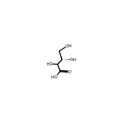 O=C(O)C(O)[C@@H](O)CO